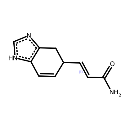 NC(=O)/C=C/C1C=Cc2[nH]cnc2C1